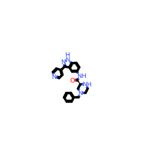 O=C(Nc1ccc2[nH]nc(-c3ccncc3)c2c1)[C@@H]1CN(Cc2ccccc2)CCN1